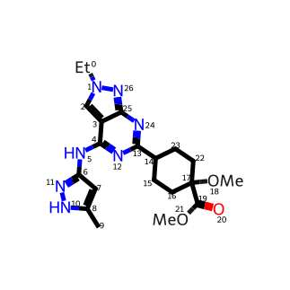 CCn1cc2c(Nc3cc(C)[nH]n3)nc(C3CCC(OC)(C(=O)OC)CC3)nc2n1